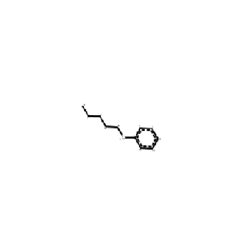 CCC[CH]COc1ccccc1